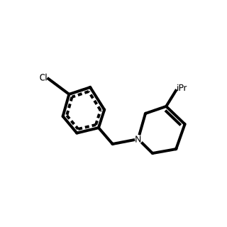 CC(C)C1=CCCN(Cc2ccc(Cl)cc2)C1